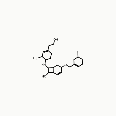 CC1C=C(CCO)CCC1NC1C(O)C2C=CC(OCC3=CCCC(F)C3)CC21